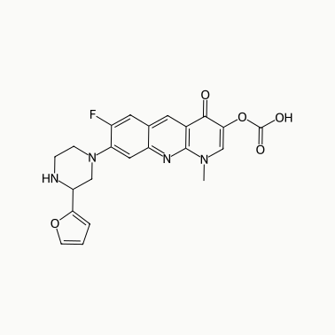 Cn1cc(OC(=O)O)c(=O)c2cc3cc(F)c(N4CCNC(c5ccco5)C4)cc3nc21